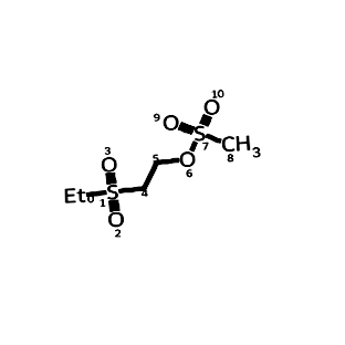 CCS(=O)(=O)CCOS(C)(=O)=O